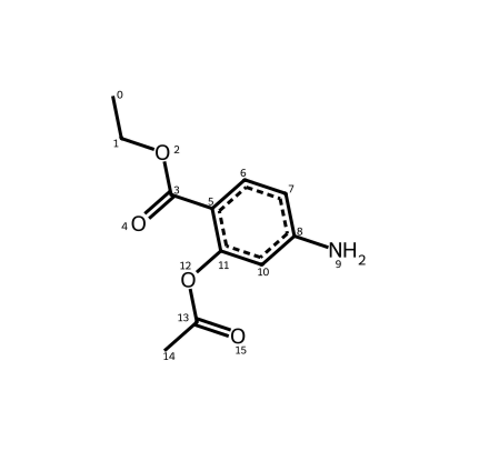 CCOC(=O)c1ccc(N)cc1OC(C)=O